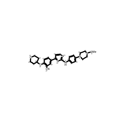 CSN1CCN(c2ccc(Nc3nccc(-c4ccc(OC5CCOCC5)c(C#N)c4)n3)cc2)CC1